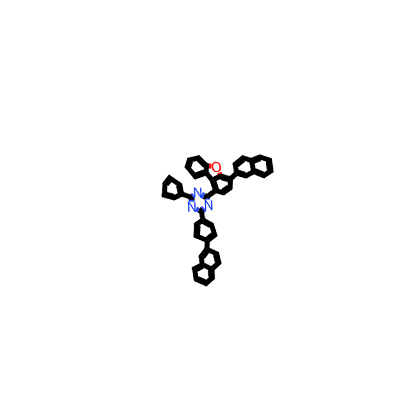 c1ccc(-c2nc(-c3ccc(-c4ccc5ccccc5c4)cc3)nc(-c3ccc(-c4ccc5ccccc5c4)c4oc5ccccc5c34)n2)cc1